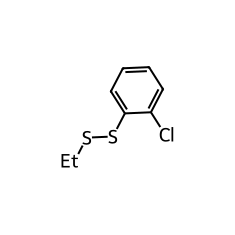 CCSSc1ccccc1Cl